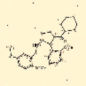 COc1ccc(OC(F)(F)F)cc1CNC1CCN(C(=O)C2CCCCC2)C1c1cccnc1OC